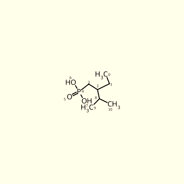 CCC(CP(=O)(O)O)C(C)C